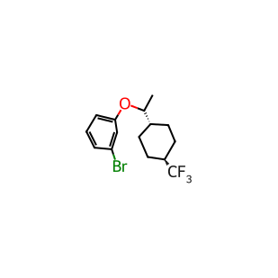 CC(Oc1cccc(Br)c1)[C@H]1CC[C@H](C(F)(F)F)CC1